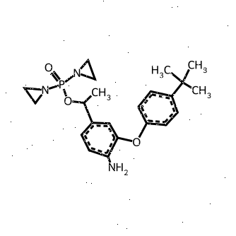 CC(OP(=O)(N1CC1)N1CC1)c1ccc(N)c(Oc2ccc(C(C)(C)C)cc2)c1